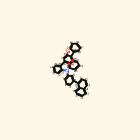 c1ccc(N(c2cccc(-c3cccc4ccccc34)c2)c2ccccc2-c2ccc3c(c2)oc2ccccc23)cc1